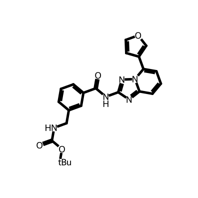 CC(C)(C)OC(=O)NCc1cccc(C(=O)Nc2nc3cccc(-c4ccoc4)n3n2)c1